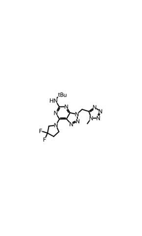 Cn1nnnc1Cn1nnc2c(N3CCC(F)(F)C3)nc(NC(C)(C)C)nc21